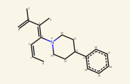 C=C(C)/C(C)=C(\C=C/C)N1CCC(c2ccccc2)CC1